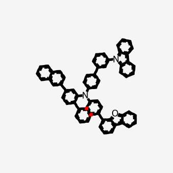 c1ccc(-c2ccc(-c3ccc4ccccc4c3)cc2N(c2ccc(-c3cccc(-n4c5ccccc5c5ccccc54)c3)cc2)c2ccc(-c3cccc4c3oc3ccccc34)cc2)cc1